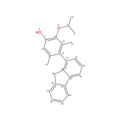 Cc1cc(O)c(OC(C)C)c(C)c1-c1cccc2c1Cc1ccccc1-2